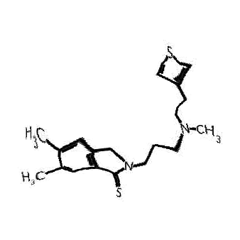 Cc1cc2c(cc1C)C(=S)N(CCCN(C)CCc1ccsc1)C2